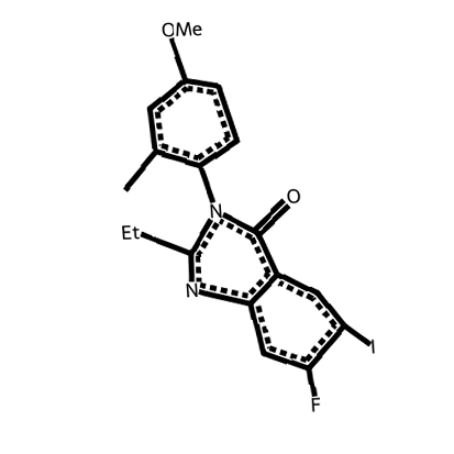 CCc1nc2cc(F)c(I)cc2c(=O)n1-c1ccc(OC)cc1C